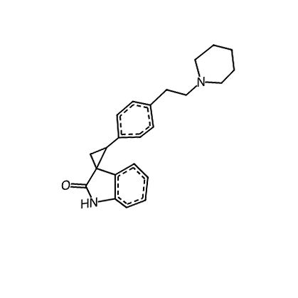 O=C1Nc2ccccc2C12CC2c1ccc(CCN2CCCCC2)cc1